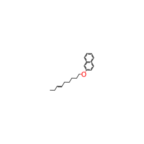 CCC=CCCCCCOc1ccc2ccccc2c1